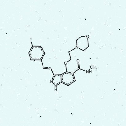 CNC(=O)c1ccc2[nH]nc(/C=C/c3ccc(F)cc3)c2c1OCCN1CCOCC1